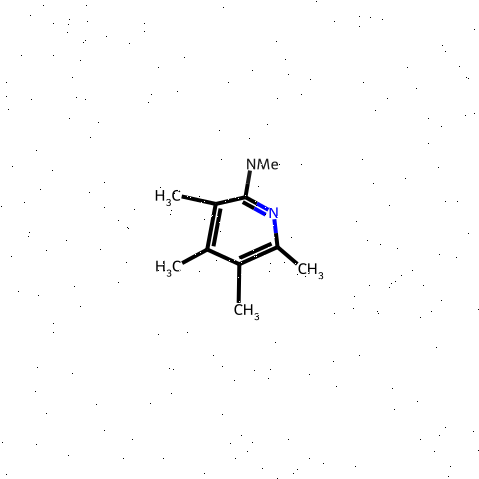 CNc1nc(C)c(C)c(C)c1C